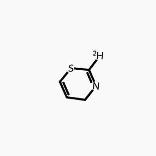 [2H]C1=NCC=CS1